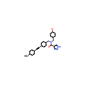 CCCCc1ccc(C#Cc2ccc(CN(Cc3ccc([O])cc3)C(=O)c3cn[nH]c3)cc2)cc1